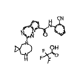 N#Cc1ccccc1NC(=O)c1ccc2cnc(N3CCNCC4(CC4)C3)nn12.O=C(O)C(F)(F)F